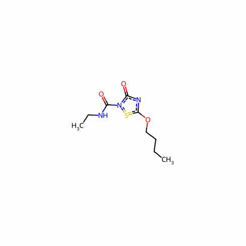 CCCCOc1nc(=O)n(C(=O)NCC)s1